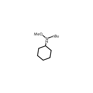 CCCC[SiH](OC)C1CCCCC1